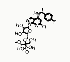 COCC(CO)(OC[C@H]1O[C@@H](n2ncc3c(N[C@@H](C)c4ccc(F)cc4)cc(Cl)nc32)[C@H](O)[C@@H]1O)P(=O)(O)O